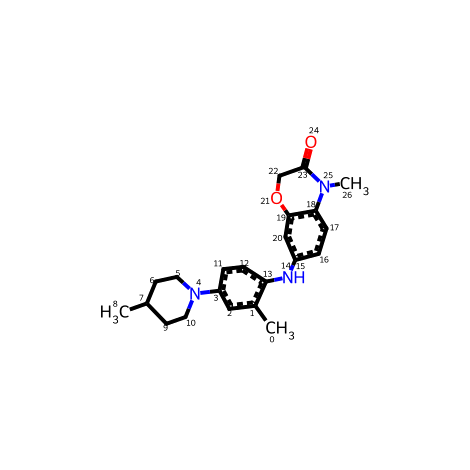 Cc1cc(N2CCC(C)CC2)ccc1Nc1ccc2c(c1)OCC(=O)N2C